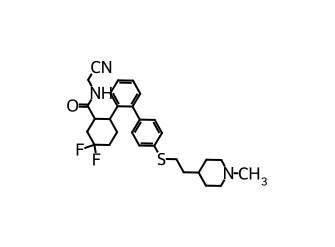 CN1CCC(CCSc2ccc(-c3ccccc3C3CCC(F)(F)CC3C(=O)NCC#N)cc2)CC1